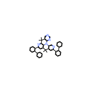 CC1(C)c2cc(-c3ccccc3-c3ccccc3)ncc2N2c3ncncc3C(C)(C)c3nc(-c4ccccc4-c4ccccc4)cc1c32